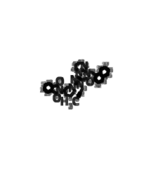 CC#CCn1c(N2CCC[C@@H](N3C(=O)c4ccccc4C3=O)C2)nc2c1C(=O)N(Cc1cccc3ccccc13)C1=NCCCN12